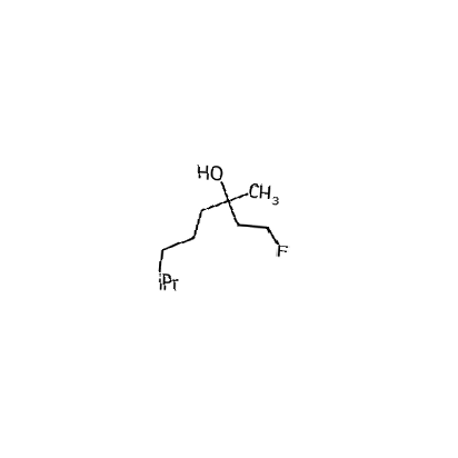 CC(C)CCCC(C)(O)CCF